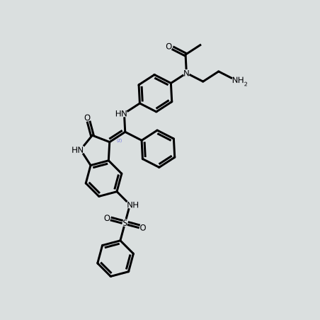 CC(=O)N(CCN)c1ccc(N/C(=C2\C(=O)Nc3ccc(NS(=O)(=O)c4ccccc4)cc32)c2ccccc2)cc1